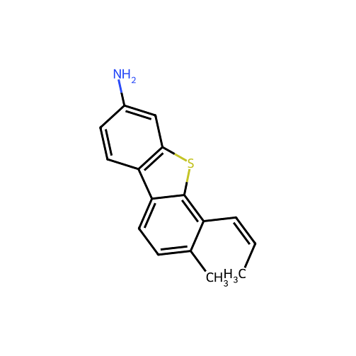 C/C=C\c1c(C)ccc2c1sc1cc(N)ccc12